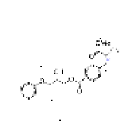 COC(=O)/C(C#N)=C\c1ccc(C(=O)OCC(O)COc2ccccc2)cc1